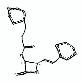 O=C(N[C@@H]1C(=O)N[C@@H]1/C=C/c1ccccc1)OCc1ccccc1